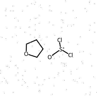 C1CCOC1.[O-][S+](Cl)Cl